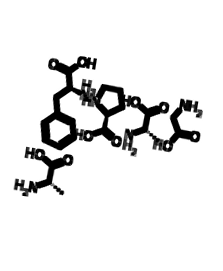 C[C@H](N)C(=O)O.C[C@H](N)C(=O)O.NCC(=O)O.N[C@@H](Cc1ccccc1)C(=O)O.O=C(O)[C@@H]1CCCN1